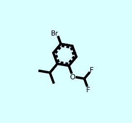 CC(C)c1cc(Br)ccc1OC(F)F